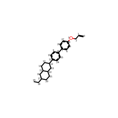 C=CCOc1ccc(-c2ccc(C3CCC4CC(CC)CCC4C3)cc2)cc1